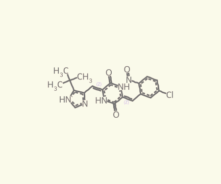 CC(C)(C)c1[nH]cnc1/C=c1\[nH]c(=O)/c(=C/c2cc(Cl)ccc2N=O)[nH]c1=O